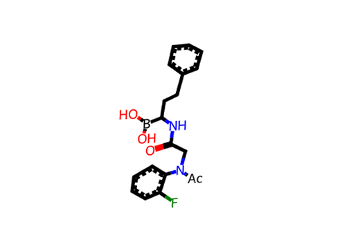 CC(=O)N(CC(=O)NC(CCc1ccccc1)B(O)O)c1ccccc1F